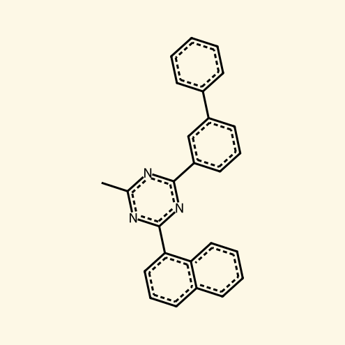 Cc1nc(-c2cccc(-c3ccccc3)c2)nc(-c2cccc3ccccc23)n1